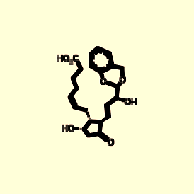 O=C(O)CCC/C=C\C[C@H]1[C@@H](O)CC(=O)[C@@H]1/C=C/[C@H](O)C1OCc2ccccc2O1